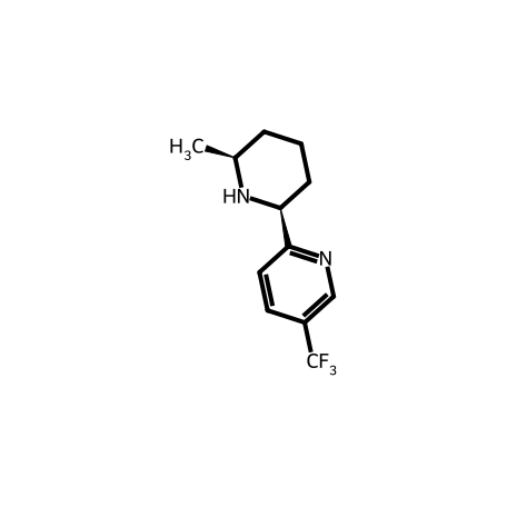 C[C@H]1CCC[C@@H](c2ccc(C(F)(F)F)cn2)N1